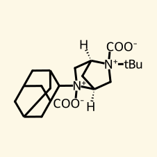 CC(C)(C)[N+]1(C(=O)[O-])C[C@@H]2C[C@H]1C[N+]2(C(=O)[O-])C1C2CC3CC(C2)CC1C3